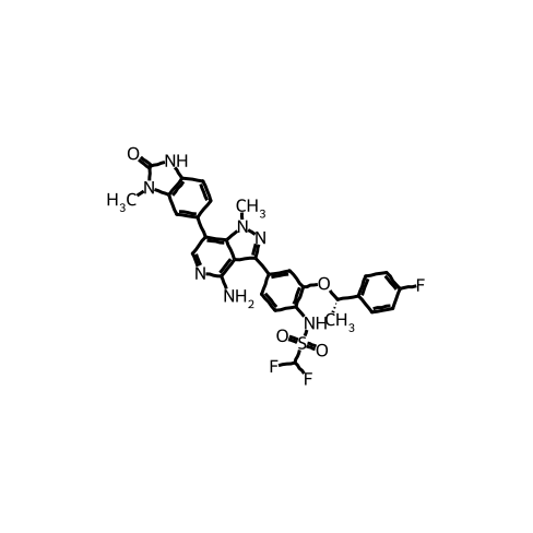 C[C@H](Oc1cc(-c2nn(C)c3c(-c4ccc5[nH]c(=O)n(C)c5c4)cnc(N)c23)ccc1NS(=O)(=O)C(F)F)c1ccc(F)cc1